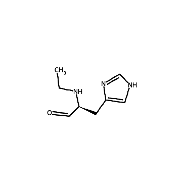 CCN[C@H]([C]=O)Cc1c[nH]cn1